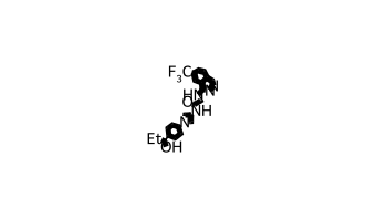 CCC(O)[C@H]1CC[C@@H](N2CC(NC(=O)CNc3nncc4ccc(C(F)(F)F)cc34)C2)CC1